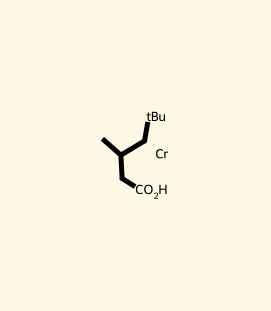 CC(CC(=O)O)CC(C)(C)C.[Cr]